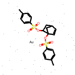 Cc1ccc(S(=O)(=O)OC2CC3C=CC2(OS(=O)(=O)c2ccc(C)cc2)C3)cc1.[Au]